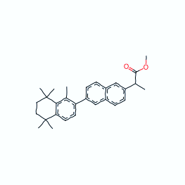 COC(=O)C(C)c1ccc2cc(-c3ccc4c(c3C)C(C)(C)CCC4(C)C)ccc2c1